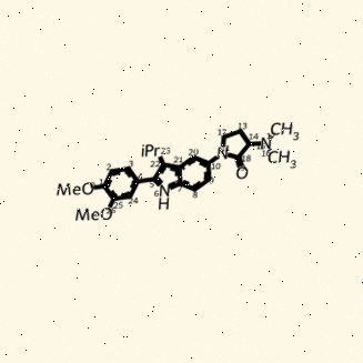 COc1ccc(-c2[nH]c3ccc(N4CCC(N(C)C)C4=O)cc3c2C(C)C)cc1OC